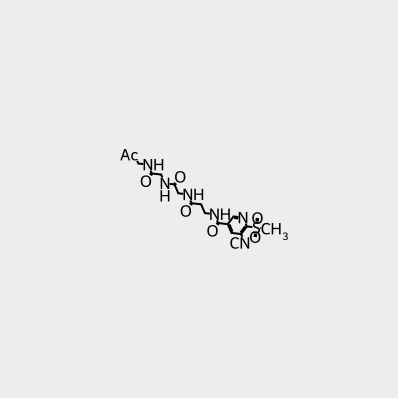 CC(=O)CNC(=O)CNC(=O)CNC(=O)CCNC(=O)c1cnc(S(C)(=O)=O)c(C#N)c1